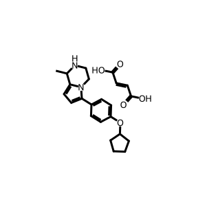 CC1NCCn2c(-c3ccc(OC4CCCC4)cc3)ccc21.O=C(O)C=CC(=O)O